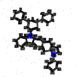 c1ccc(-c2cc(-c3ccccc3)cc(-n3c4ccccc4c4cc5cc6c(ccn6-c6ccccc6)cc5cc43)c2)cc1